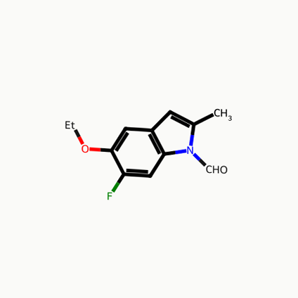 CCOc1cc2cc(C)n(C=O)c2cc1F